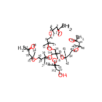 BC(=O)CC(C)(C)OCCC(C)(C)OCC(COC(C)(C)CCO)(COC(C)(C)CCOC(C)(C)CC(B)=O)COC(C)(C)CCOC(C)(C)CC(B)=O